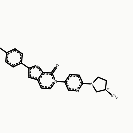 N[C@@H]1CCN(c2ccc(-n3ccc4cc(-c5ccc(Cl)cc5)sc4c3=O)cn2)C1